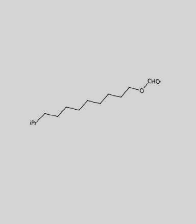 CC(C)CCCCCCCCCO[C]=O